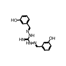 N=C(N/N=C/c1cccc(O)c1)N/N=C/c1cccc(O)c1